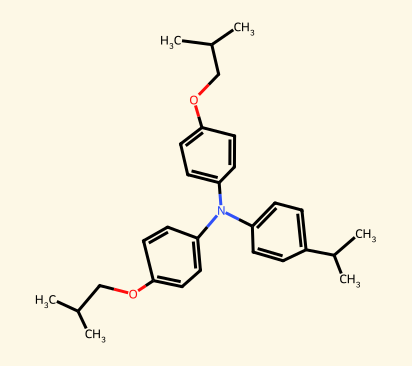 CC(C)COc1ccc(N(c2ccc(OCC(C)C)cc2)c2ccc(C(C)C)cc2)cc1